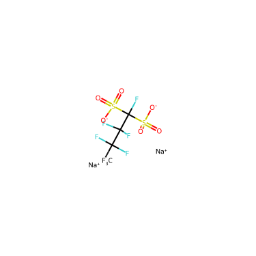 O=S(=O)([O-])C(F)(C(F)(F)C(F)(F)C(F)(F)F)S(=O)(=O)[O-].[Na+].[Na+]